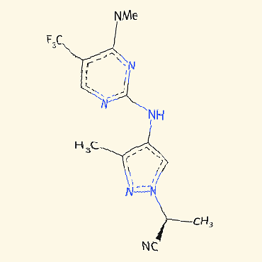 CNc1nc(Nc2cn([C@@H](C)C#N)nc2C)ncc1C(F)(F)F